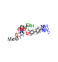 COC(=O)C[C@@H]1C[C@@H](COc2ccc(-c3ccc(C(=N)N)cc3)cc2)N(S(C)(=O)=O)C1.Cl